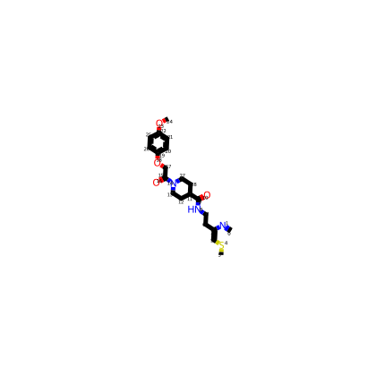 C=N/C(=C\SC)CCNC(=O)C1CCN(C(=O)COc2ccc(OC)cc2)CC1